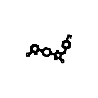 CC(C)c1ccc(/C=C2\SC(N3CCN(c4cccc(Cl)n4)CC3)=NC2=O)cc1